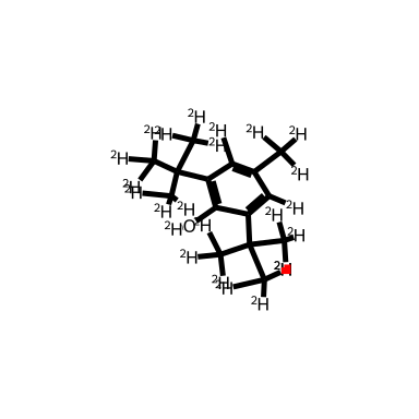 [2H]Oc1c(C(C([2H])([2H])[2H])(C([2H])([2H])[2H])C([2H])([2H])[2H])c([2H])c(C([2H])([2H])[2H])c([2H])c1C(C([2H])([2H])[2H])(C([2H])([2H])[2H])C([2H])([2H])[2H]